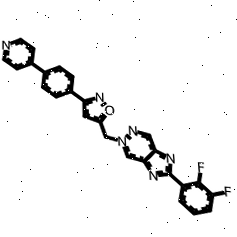 Fc1cccc(-c2nc3cnn(Cc4cc(-c5ccc(-c6ccncc6)cc5)no4)cc-3n2)c1F